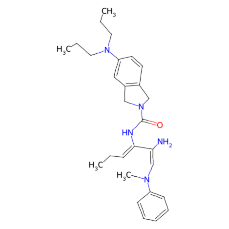 CC/C=C(NC(=O)N1Cc2ccc(N(CCC)CCC)cc2C1)/C(N)=C\N(C)c1ccccc1